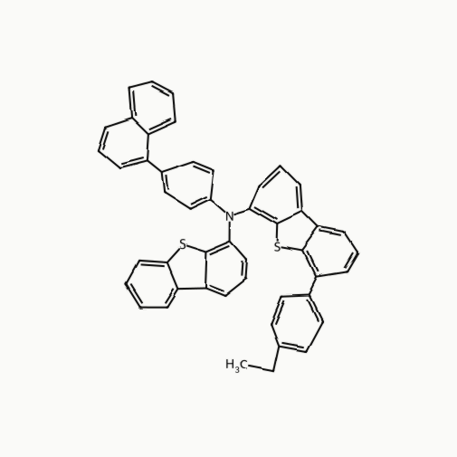 CCc1ccc(-c2cccc3c2sc2c(N(c4ccc(-c5cccc6ccccc56)cc4)c4cccc5c4sc4ccccc45)cccc23)cc1